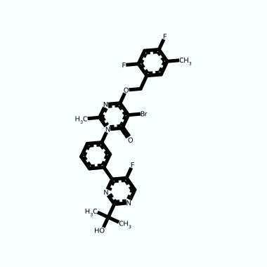 Cc1cc(COc2nc(C)n(-c3cccc(-c4nc(C(C)(C)O)ncc4F)c3)c(=O)c2Br)c(F)cc1F